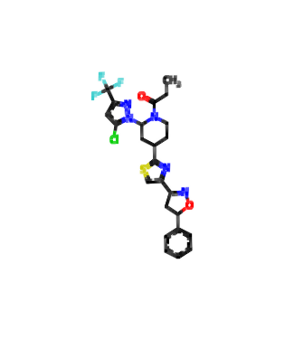 CCC(=O)N1CCC(c2nc(C3=NOC(c4ccccc4)C3)cs2)CC1n1nc(C(F)(F)F)cc1Cl